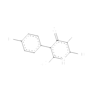 Cc1[nH]c(C)c(-c2ccc(Br)cc2)c(=O)c1Cl